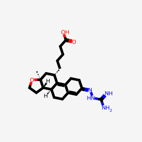 C[C@]12C[C@H](CCCCC(=O)O)C3=C4CCC(=NNC(=N)N)C=C4CC[C@H]3[C@@H]1CCO2